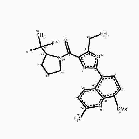 COc1ccc(-c2nc(C(=O)N3CCCC3C(C)(F)F)c(CN)o2)c2ccc(C(F)(F)F)nc12